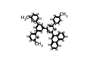 Cc1ccc(-c2nc(-c3cc(-c4cccc(C)n4)cc(-c4cccc(C)n4)c3)nc(-c3cc4ccccc4c4ccccc34)n2)cc1